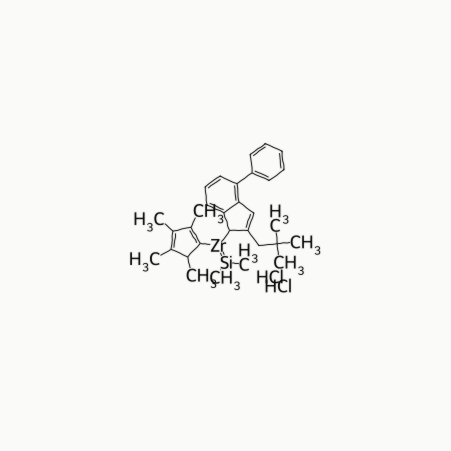 CC1=C(C)C(C)[C]([Zr]([CH]2C(CC(C)(C)C)=Cc3c(-c4ccccc4)cccc32)=[Si](C)C)=C1C.Cl.Cl